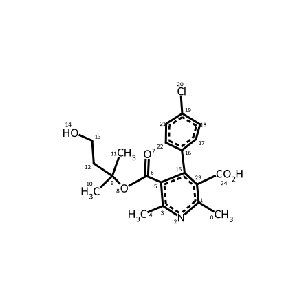 Cc1nc(C)c(C(=O)OC(C)(C)CCO)c(-c2ccc(Cl)cc2)c1C(=O)O